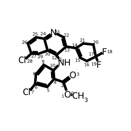 COC(=O)c1cc(Cl)ccc1Nc1c(C2=CCC(F)(F)CC2)cnc2ccc(Cl)cc12